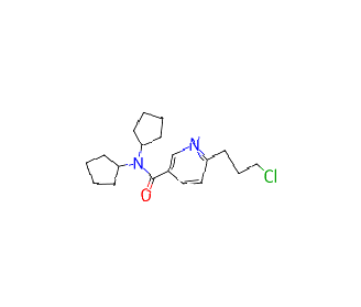 O=C(c1ccc(CCCCl)nc1)N(C1CCCC1)C1CCCC1